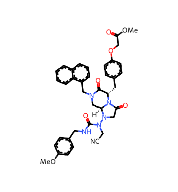 COC(=O)COc1ccc(C[C@H]2C(=O)N(Cc3cccc4ccccc34)C[C@H]3N2C(=O)CN3N(CC#N)C(=O)NCc2ccc(OC)cc2)cc1